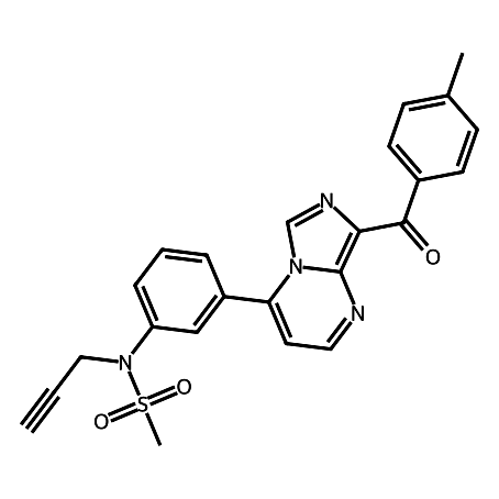 C#CCN(c1cccc(-c2ccnc3c(C(=O)c4ccc(C)cc4)ncn23)c1)S(C)(=O)=O